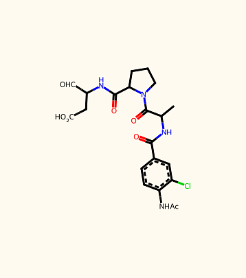 CC(=O)Nc1ccc(C(=O)NC(C)C(=O)N2CCCC2C(=O)NC(C=O)CC(=O)O)cc1Cl